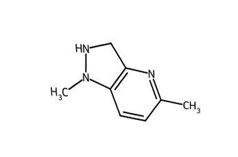 Cc1ccc2c(n1)CNN2C